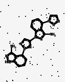 Nc1n[nH]c2cccc(-n3ncc(-n4nc(N)c5c(-n6ccnn6)cccc54)n3)c12